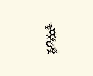 Cc1cc2cnn(-c3cccc(-c4nncn4C(C)C)n3)c(=O)c2cc1[N+](=O)[O-]